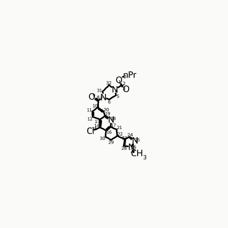 CCCOC(=O)N1CCN(C(=O)c2ccc3c(Cl)c4c(nc3c2)CC(c2cnn(C)c2)CC4)CC1